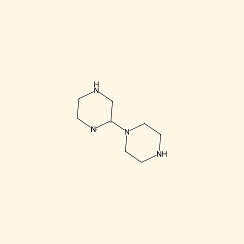 C1CNC[C](N2CCNCC2)[N]1